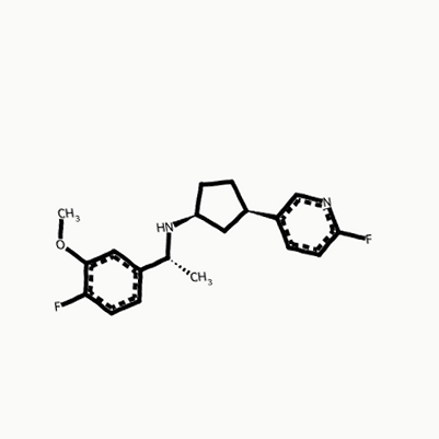 COc1cc([C@@H](C)N[C@H]2CC[C@@H](c3ccc(F)nc3)C2)ccc1F